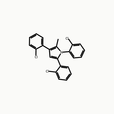 Cc1c(-c2ccccc2Cl)cc(-c2ccccc2Cl)n1-c1ccccc1Cl